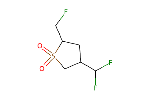 O=S1(=O)CC(C(F)F)CC1CF